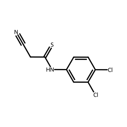 N#CCC(=S)Nc1ccc(Cl)c(Cl)c1